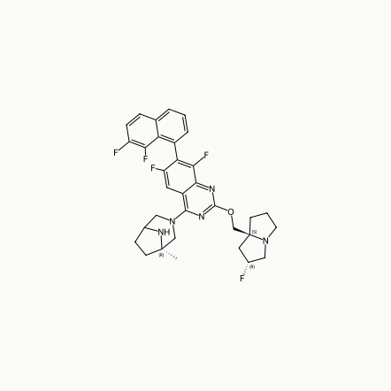 C[C@@]12CCC(CN(c3nc(OC[C@@]45CCCN4C[C@H](F)C5)nc4c(F)c(-c5cccc6ccc(F)c(F)c56)c(F)cc34)C1)N2